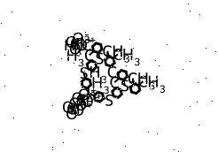 Cc1cccc([S+](c2ccc(Sc3ccc([I+]c4ccc(Sc5ccc([S+](c6cccc(C)c6C)c6cccc(C)c6C)cc5)cc4)cc3)cc2)c2cccc(C)c2C)c1C.[O-][Cl+3]([O-])([O-])[O-].[O-][Cl+3]([O-])([O-])[O-].[O-][Cl+3]([O-])([O-])[O-]